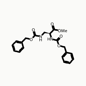 COC(=O)[C@H](CNC(=O)OCc1ccccc1)NC(=O)OCc1ccccc1